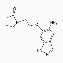 Nc1cc2cn[nH]c2cc1OCCN1CCCC1=O